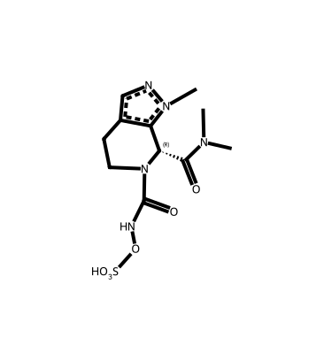 CN(C)C(=O)[C@H]1c2c(cnn2C)CCN1C(=O)NOS(=O)(=O)O